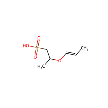 CC=COC(C)CS(=O)(=O)O